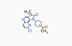 CC(=O)N1CCC(n2c(=O)n(C)c3cnc4ccc(Cl)nc4c32)CC1